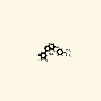 CC(=O)c1cnc2ccc(-c3cc(Cl)c(O)c(Cl)c3)nc2c1N(C)[C@H]1CC[C@H](N(C)C)CC1